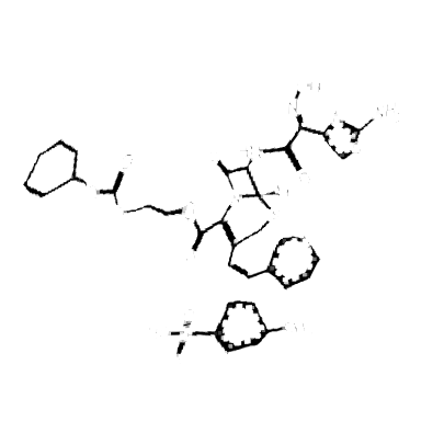 Cc1ccc(S(=O)(=O)O)cc1.Nc1nc(C(=NO)C(=O)N[C@@H]2C(=O)N3C(C(=O)OCCOC(=O)OC4CCCCC4)=C(/C=C\c4cccnc4)CS[C@@H]23)cs1